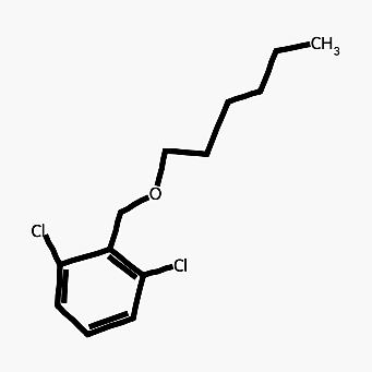 CCCCCCOCc1c(Cl)cccc1Cl